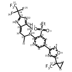 CCS(=O)(=O)c1cc(-c2noc(C3(C(F)(F)F)CC3)n2)cnc1N1NC2=NC(C(F)(F)C(F)(F)F)=NC2=CC1C